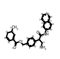 CC1C=C(C(=O)OCc2ccc(C(CN)C(=O)Nc3ccc4cnccc4c3)cc2)C=CC1